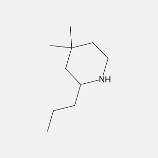 CCCC1CC(C)(C)CCN1